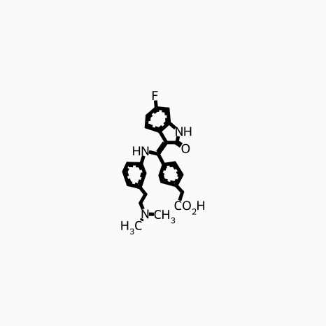 CN(C)CCc1cccc(NC(=C2C(=O)Nc3cc(F)ccc32)c2ccc(CC(=O)O)cc2)c1